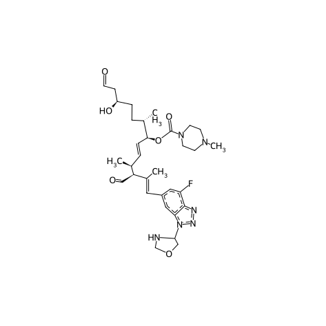 C/C(=C\c1cc(F)c2nnn(C3COCN3)c2c1)[C@@H](C=O)[C@@H](C)/C=C/[C@H](OC(=O)N1CCN(C)CC1)[C@@H](C)CC[C@@H](O)CC=O